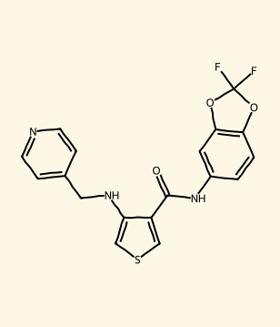 O=C(Nc1ccc2c(c1)OC(F)(F)O2)c1cscc1NCc1ccncc1